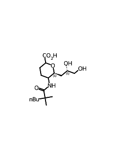 CCCCC(C)(C)C(=O)NC1CCC(C(=O)O)O[C@H]1C[C@H](O)CO